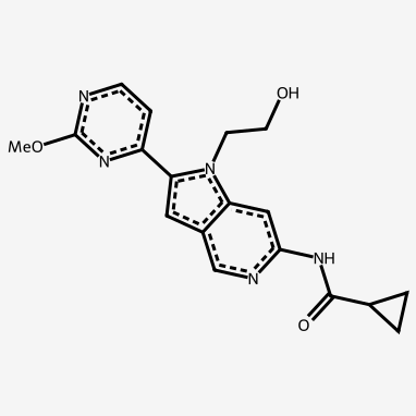 COc1nccc(-c2cc3cnc(NC(=O)C4CC4)cc3n2CCO)n1